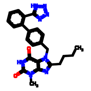 CCCCc1nc2c(c(=O)[nH]c(=O)n2C)n1Cc1ccc(-c2ccccc2-c2nnn[nH]2)cc1